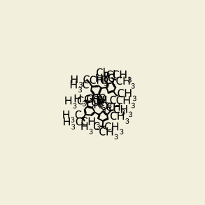 CC(C)c1cc(C(C)(C)C)cc2c1op(Oc1c(-c3cc(C(C)(C)C)cc(C(C)(C)C)c3OP(Cl)Cl)cc(C(C)(C)C)cc1C(C)(C)C)oc1c(C(C)(C)C)cc(C(C)(C)C)cc12